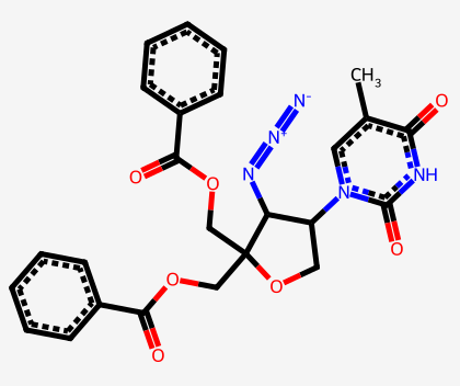 Cc1cn(C2COC(COC(=O)c3ccccc3)(COC(=O)c3ccccc3)C2N=[N+]=[N-])c(=O)[nH]c1=O